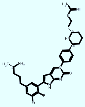 CCc1cc(CCC[C@H](C)N)cc(-c2cc3cn(-c4ccc([C@@H]5CCC[C@@H](CCSC(=N)N)N5)cc4)c(=O)nc3[nH]2)c1F